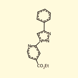 CCOC(=O)c1ccnc(-n2cc(-c3ccccc3)nn2)c1